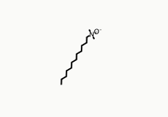 CCCCCCCCCCCC[N+](C)(C)[O-]